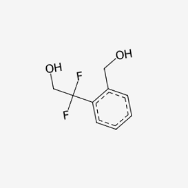 OCc1ccccc1C(F)(F)CO